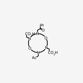 CC(=O)CN1CCOCCN(CC(=O)O)CCN(CC(=O)C(C)C)CCOCCN(CC(=O)O)CC1